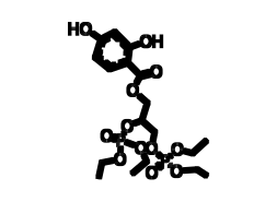 CCOP(=O)(OCC)OCC(COC(=O)c1ccc(O)cc1O)OP(=O)(OCC)OCC